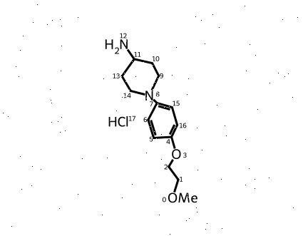 COCCOc1ccc(N2CCC(N)CC2)cc1.Cl